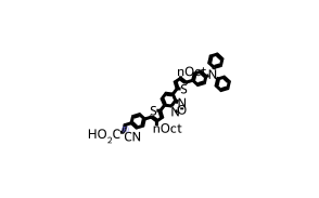 CCCCCCCCc1cc(-c2ccc(-c3cc(CCCCCCCC)c(-c4ccc(N(c5ccccc5)c5ccccc5)cc4)s3)c3nonc23)sc1-c1ccc(/C=C(\C#N)C(=O)O)cc1